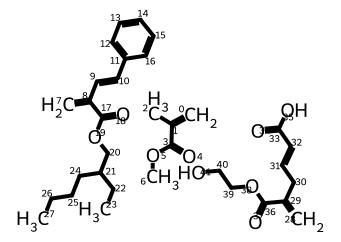 C=C(C)C(=O)OC.C=C(C=Cc1ccccc1)C(=O)OCC(CC)CCCC.C=C(CC=CC(=O)O)C(=O)OCCO